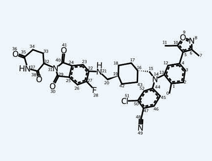 Cc1ccc(-c2c(C)noc2C)cc1N(C[C@H]1CC[C@H](CNc2cc3c(cc2F)C(=O)N(C2CCC(=O)NC2=O)C3=O)CC1)c1ccc(C#N)c(Cl)c1